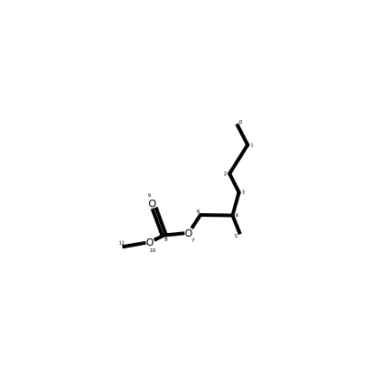 CCCCC(C)COC(=O)OC